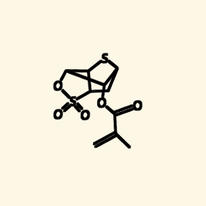 C=C(C)C(=O)OC1C2CC3C(S2)C1OS3(=O)=O